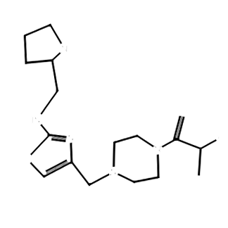 CC(C)C(=O)N1CCN(Cc2csc(NCC3CCCN3)n2)CC1